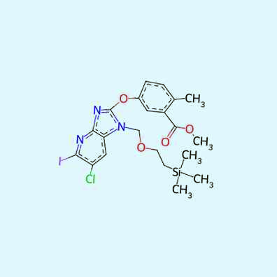 COC(=O)c1cc(Oc2nc3nc(I)c(Cl)cc3n2COCC[Si](C)(C)C)ccc1C